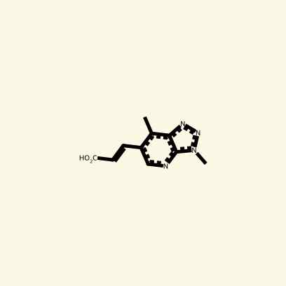 Cc1c(C=CC(=O)O)cnc2c1nnn2C